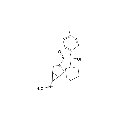 CNC1C2CN(C(=O)C(O)(c3ccc(F)cc3)C3CCCCC3)CC21